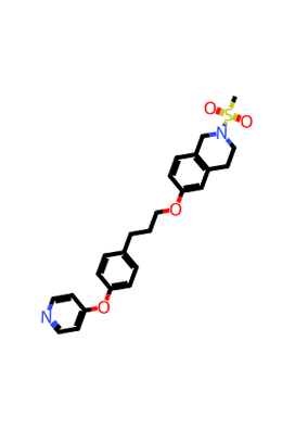 CS(=O)(=O)N1CCc2cc(OCCCc3ccc(Oc4ccncc4)cc3)ccc2C1